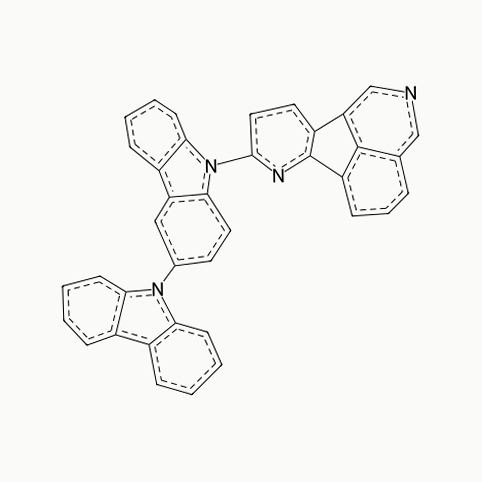 c1cc2c3c(cncc3c1)-c1ccc(-n3c4ccccc4c4cc(-n5c6ccccc6c6ccccc65)ccc43)nc1-2